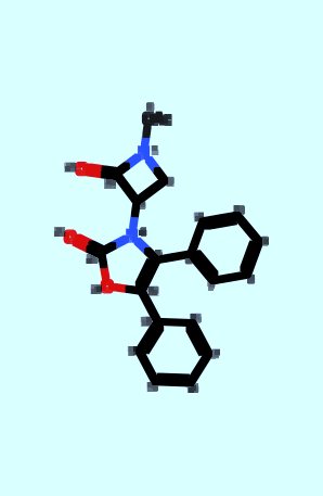 CC(=O)ON1CC(n2c(-c3ccccc3)c(-c3ccccc3)oc2=O)C1=O